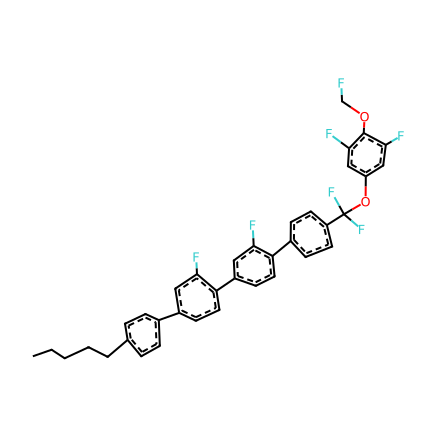 CCCCCc1ccc(-c2ccc(-c3ccc(-c4ccc(C(F)(F)Oc5cc(F)c(OCF)c(F)c5)cc4)c(F)c3)c(F)c2)cc1